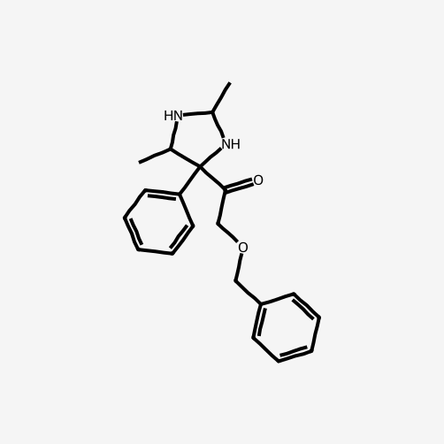 CC1NC(C)C(C(=O)COCc2ccccc2)(c2ccccc2)N1